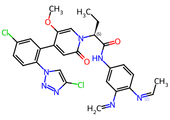 C=Nc1cc(NC(=O)[C@H](CC)n2cc(OC)c(-c3cc(Cl)ccc3-n3cc(Cl)nn3)cc2=O)ccc1/N=C\C